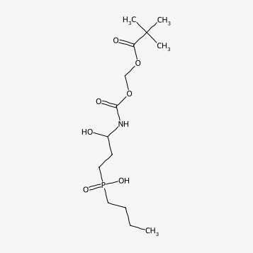 CCCCP(=O)(O)CCC(O)NC(=O)OCOC(=O)C(C)(C)C